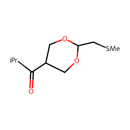 CSCC1OCC(C(=O)C(C)C)CO1